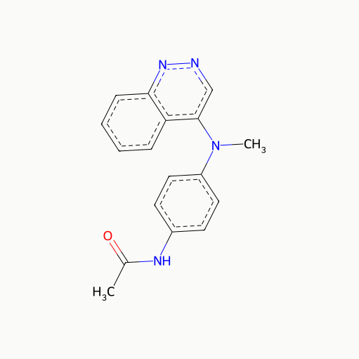 CC(=O)Nc1ccc(N(C)c2cnnc3ccccc23)cc1